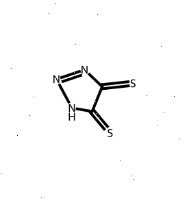 S=C1N=NNC1=S